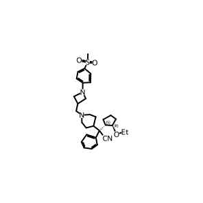 CCO[C@@H]1CCC[C@H]1C(C#N)(c1ccccc1)C1CCN(CC2CN(c3ccc(S(C)(=O)=O)cc3)C2)CC1